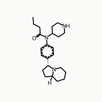 CCCC(=O)N(c1ccc([C@H]2CC[C@H]3CCCCN32)cc1)C1CCNCC1